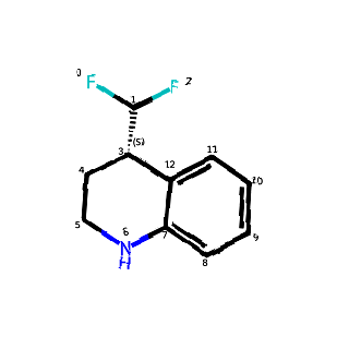 FC(F)[C@H]1CCNc2ccccc21